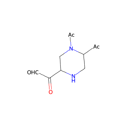 CC(=O)C1CNC(C(=O)C=O)CN1C(C)=O